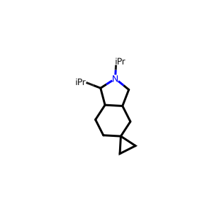 CC(C)C1C2CCC3(CC3)CC2CN1C(C)C